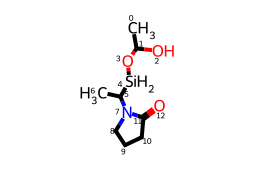 CC(O)O[SiH2]C(C)N1CCCC1=O